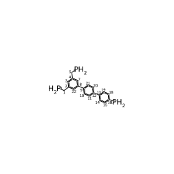 PCc1cc(CP)cc(-c2ccc(-c3ccc(P)cc3)cc2)c1